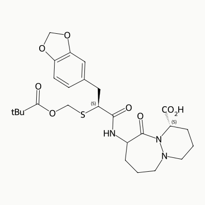 CC(C)(C)C(=O)OCS[C@@H](Cc1ccc2c(c1)OCO2)C(=O)NC1CCCN2CCC[C@@H](C(=O)O)N2C1=O